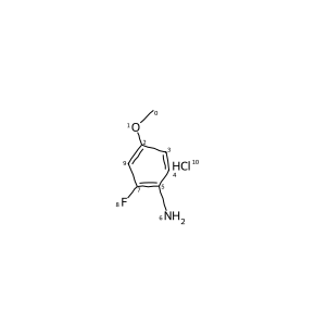 COc1ccc(N)c(F)c1.Cl